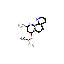 Cc1cc(OC(C)C)c2ccc3cccnc3c2n1